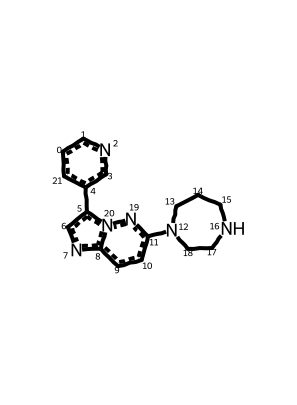 c1cncc(-c2cnc3ccc(N4CCCNCC4)nn23)c1